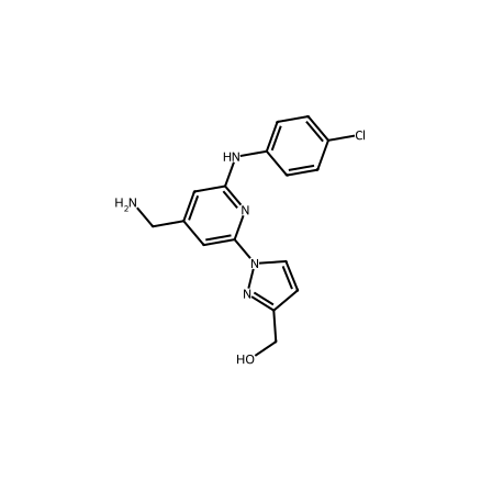 NCc1cc(Nc2ccc(Cl)cc2)nc(-n2ccc(CO)n2)c1